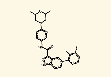 CC1CN(c2ccc(NC(=O)c3n[nH]c4ccc(-c5cccc(F)c5F)cc34)cn2)CC(C)O1